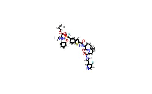 C[C@H](NP(=O)(Oc1ccccc1)C(F)c1ccc2sc(C(=O)N[C@H]3CCC[C@H]4CC[C@@H](C(=O)N5CC(c6cnccc6F)C5)N4C3=O)cc2c1)C(=O)OCCC(F)(F)F